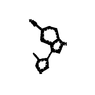 Cc1cscc1-c1c[nH]c2ccc(C#N)cc12